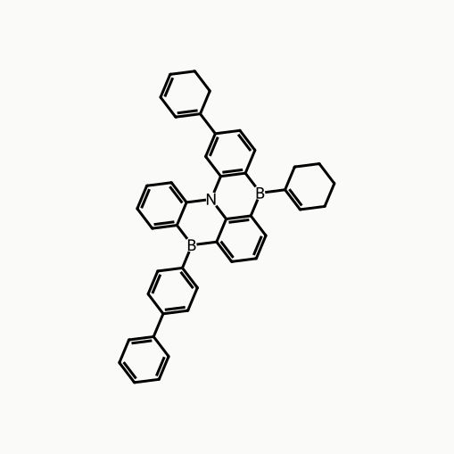 C1=CCCC(c2ccc3c(c2)N2c4ccccc4B(c4ccc(-c5ccccc5)cc4)c4cccc(c42)B3C2=CCCCC2)=C1